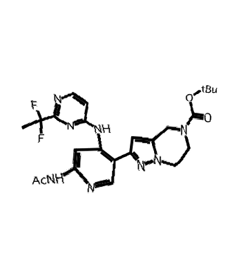 CC(=O)Nc1cc(Nc2ccnc(C(C)(F)F)n2)c(-c2cc3n(n2)CCN(C(=O)OC(C)(C)C)C3)cn1